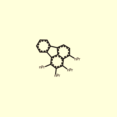 CCCc1c(CCC)c2c3c(ccc(CCC)c3c1CCC)-c1ccccc1-2